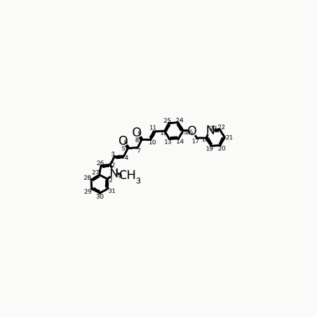 Cn1c(/C=C/C(=O)CC(=O)/C=C/c2ccc(OCc3ccccn3)cc2)cc2ccccc21